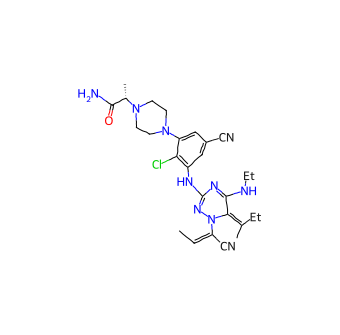 C/C=C(/C#N)N1N=C(Nc2cc(C#N)cc(N3CCN([C@@H](C)C(N)=O)CC3)c2Cl)N=C(NCC)/C1=C(/C)CC